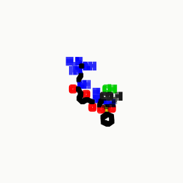 C[C@](NC(=O)c1ccc(C(=O)NCCNC(=N)N)o1)(NS(=O)(=O)c1ccccc1)C(=O)O.Cl